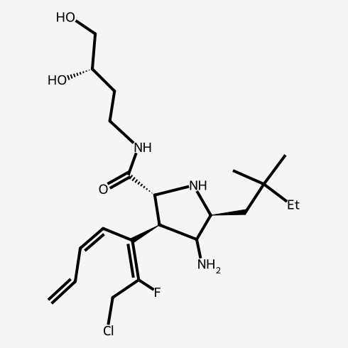 C=C/C=C\C(=C(\F)CCl)[C@@H]1C(N)[C@H](CC(C)(C)CC)N[C@H]1C(=O)NCC[C@H](O)CO